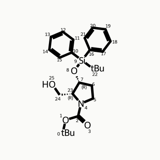 CC(C)(C)OC(=O)N1CC[C@@H](O[Si](c2ccccc2)(c2ccccc2)C(C)(C)C)[C@H]1CO